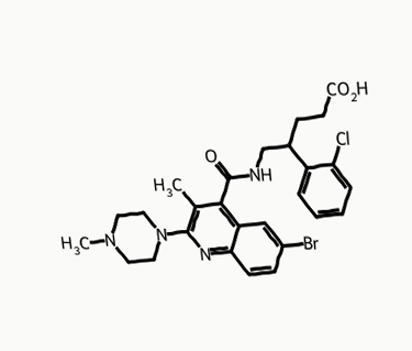 Cc1c(N2CCN(C)CC2)nc2ccc(Br)cc2c1C(=O)NCC(CCC(=O)O)c1ccccc1Cl